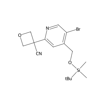 CC(C)(C)[Si](C)(C)OCc1cc(C2(C#N)COC2)ncc1Br